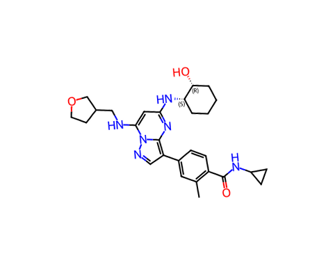 Cc1cc(-c2cnn3c(NCC4CCOC4)cc(N[C@H]4CCCC[C@H]4O)nc23)ccc1C(=O)NC1CC1